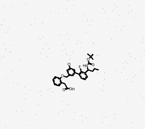 CCCC(NC(=O)OC(C)(C)C)c1cccc(-c2cc(Cl)cc(COc3ccccc3CC(=O)O)c2)c1F